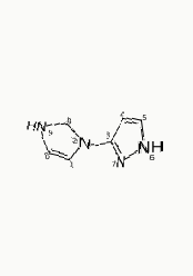 C1=CN(c2cc[nH]n2)CN1